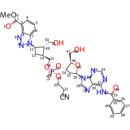 COC(=O)c1cccc2c1nnn2[C@@H]1C[C@H](COP(=S)(OCCC#N)O[C@H]2C[C@H](n3cnc4c(NC(=O)c5ccccc5)ncnc43)O[C@@H]2CO)[C@H]1CO